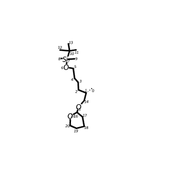 C[C@@H](CCCCO[Si](C)(C)C(C)(C)C)COC1CCCCO1